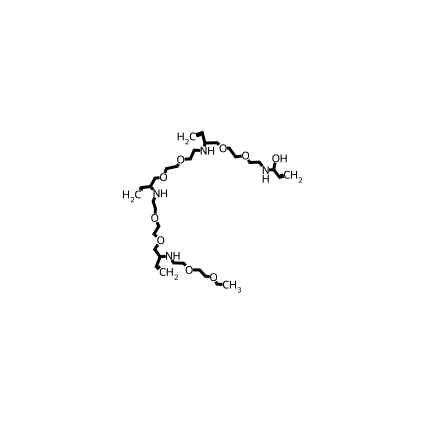 C=CC(O)NCCOCCOCC(C=C)NCCOCCOCC(C=C)NCCOCCOCC(C=C)NCCOCCOCC